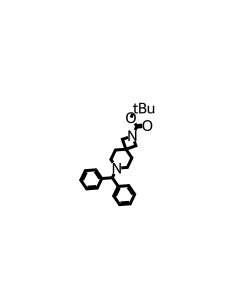 CC(C)(C)OC(=O)N1CC2(CCN(C(c3ccccc3)c3ccccc3)CC2)C1